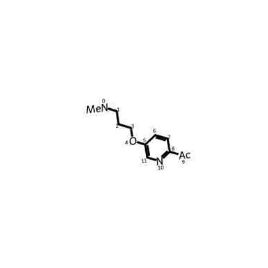 CNCCCOc1ccc(C(C)=O)nc1